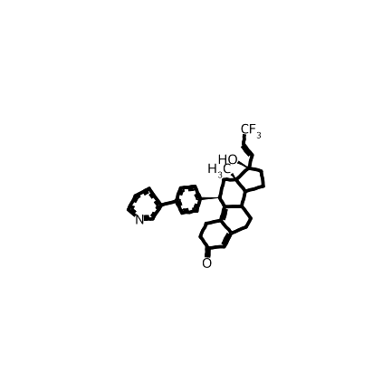 C[C@]12C[C@H](c3ccc(-c4cccnc4)cc3)C3=C4CCC(=O)C=C4CCC3C1CC[C@@]2(O)/C=C/C(F)(F)F